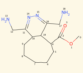 COC(=O)C1CCCCCC2C(CN)=NN=C(CN)C12